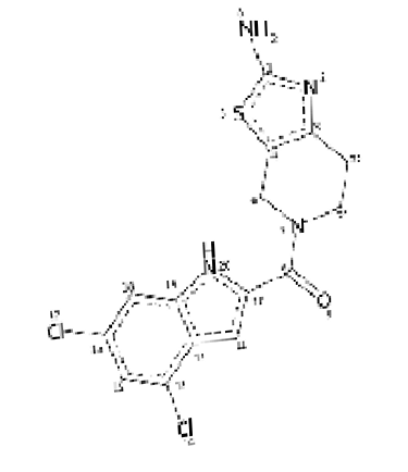 Nc1nc2c(s1)CN(C(=O)c1cc3c(Cl)cc(Cl)cc3[nH]1)CC2